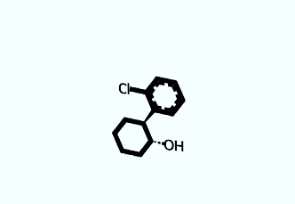 O[C@@H]1CCCC[C@H]1c1ccccc1Cl